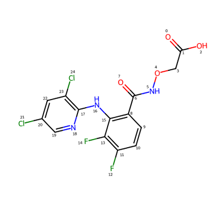 O=C(O)CONC(=O)c1ccc(F)c(F)c1Nc1ncc(Cl)cc1Cl